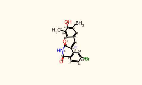 Bc1cc(/C=C2\C(=O)NC(=O)c3ccc(Br)cc32)cc(C)c1O